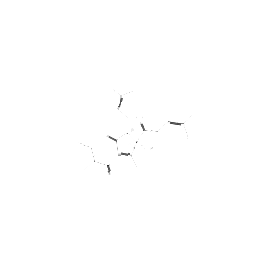 CCC(C)C(=O)C1=C(C)[C@@](O)(C(=O)CC=C(C)C)[C@@H](CC=C(C)C)C1=O